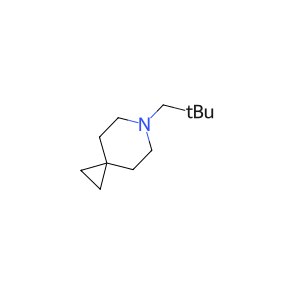 CC(C)(C)CN1CCC2(CC1)CC2